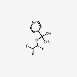 CC(O)(OC(F)C(F)F)c1ccncn1